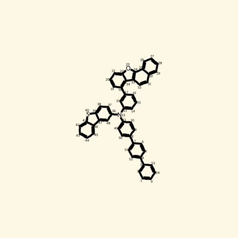 c1ccc(-c2ccc(-c3ccc(N(c4cccc(-c5cccc6oc7c8ccccc8ccc7c56)c4)c4ccc5sc6ccccc6c5c4)cc3)cc2)cc1